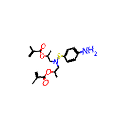 C=C(C)C(=O)OC(C)CN(CC(C)OC(=O)C(=C)C)Sc1ccc(N)cc1